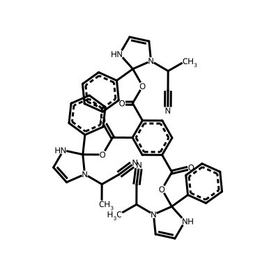 CC(C#N)N1C=CNC1(OC(=O)c1ccc(C(=O)OC2(c3ccccc3)NC=CN2C(C)C#N)c(C(=O)OC2(c3ccccc3)NC=CN2C(C)C#N)c1)c1ccccc1